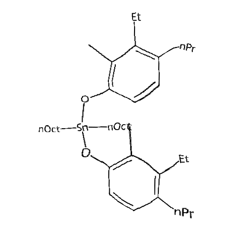 CCCCCCC[CH2][Sn]([CH2]CCCCCCC)([O]c1ccc(CCC)c(CC)c1C)[O]c1ccc(CCC)c(CC)c1C